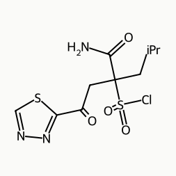 CC(C)CC(CC(=O)c1nncs1)(C(N)=O)S(=O)(=O)Cl